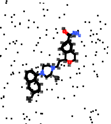 CC[C@@H]1CN(c2cccc3cc(C#N)ccc23)CCN1CC[C@@H]1OCCc2cc(C(N)=O)ccc21